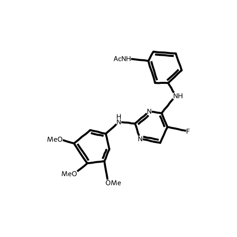 COc1cc(Nc2ncc(F)c(Nc3cccc(NC(C)=O)c3)n2)cc(OC)c1OC